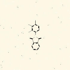 Cc1ccc(N2C(=O)c3ccccc3C2=O)c(Cl)c1Cl